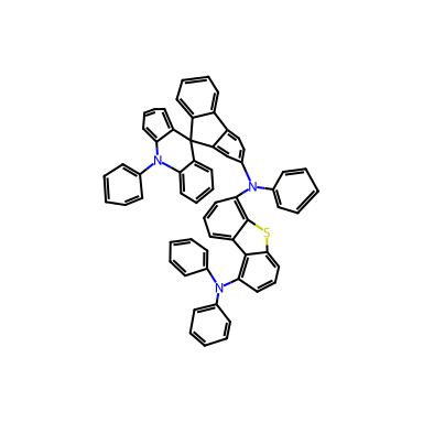 c1ccc(N2c3ccccc3C3(c4ccccc4-c4ccc(N(c5ccccc5)c5cccc6c5sc5cccc(N(c7ccccc7)c7ccccc7)c56)cc43)c3ccccc32)cc1